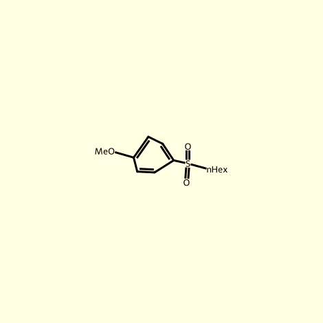 CCCCCCS(=O)(=O)c1ccc(OC)cc1